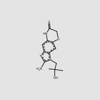 CC(C)(O)Cn1c(N)nc2cc3c(cc21)OCC(=O)N3